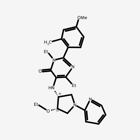 CCO[C@H]1CN(c2ccccn2)C[C@H]1Nc1c(CC)nc(-c2ccc(OC)cc2C)n(CC)c1=O